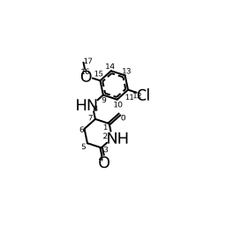 C=C1NC(=O)CCC1Nc1cc(Cl)ccc1OC